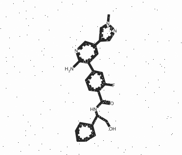 Cn1cc(-c2cnc(N)c(-c3ccc(C(=O)NC(CO)c4ccccc4)c(F)c3)c2)cn1